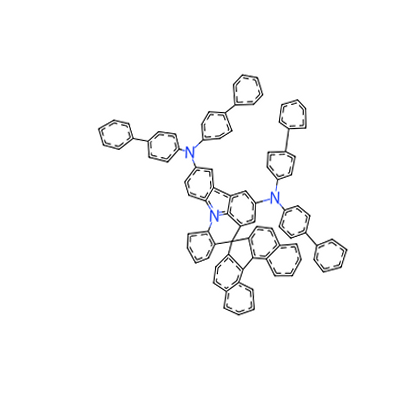 c1ccc(-c2ccc(N(c3ccc(-c4ccccc4)cc3)c3ccc4c(c3)c3cc(N(c5ccc(-c6ccccc6)cc5)c5ccc(-c6ccccc6)cc5)cc5c3n4-c3ccccc3C53c4ccc5ccccc5c4-c4c3ccc3ccccc43)cc2)cc1